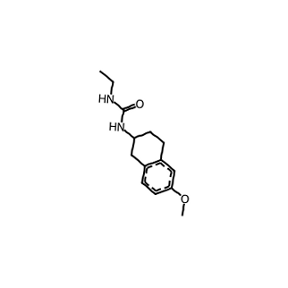 CCNC(=O)NC1CCc2cc(OC)ccc2C1